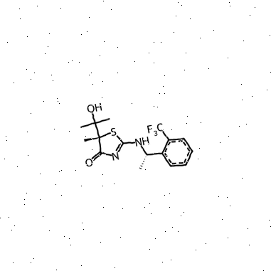 C[C@H](NC1=NC(=O)[C@](C)(C(C)(C)O)S1)c1ccccc1C(F)(F)F